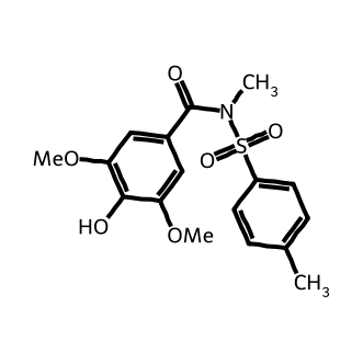 COc1cc(C(=O)N(C)S(=O)(=O)c2ccc(C)cc2)cc(OC)c1O